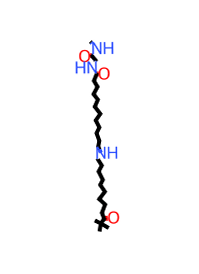 CNC(=O)CNC(=O)CCCCCCCCCCCNCCCCCCCCCC(=O)C(C)(C)C